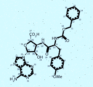 COc1ccc(C[C@H](NC(=O)OCc2ccccc2)C(=O)N[C@H]2[C@@H](O)[C@H](n3cnc4c(N)ncnc43)O[C@@H]2C(=O)O)cc1